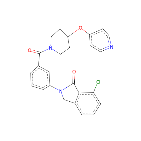 O=C(c1cccc(N2Cc3cccc(Cl)c3C2=O)c1)N1CCC(Oc2ccncc2)CC1